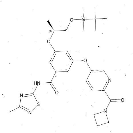 Cc1nsc(NC(=O)c2cc(Oc3ccc(C(=O)N4CCC4)nc3)cc(O[C@@H](C)CO[Si](C)(C)C(C)(C)C)c2)n1